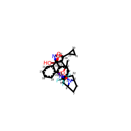 Cc1cc(N2C3CCC2CC(OCc2c(-c4ccccc4OC(F)(F)F)noc2C2CC2)C3)ncc1C(=O)O